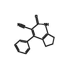 N#Cc1c(-c2ccccc2)c2c([nH]c1=O)CCC2